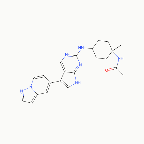 CC(=O)NC1(C)CCC(Nc2ncc3c(-c4ccn5nccc5c4)c[nH]c3n2)CC1